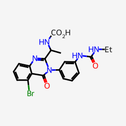 CCNC(=O)Nc1cccc(-n2c(C(C)NC(=O)O)nc3cccc(Br)c3c2=O)c1